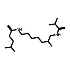 C=C(CCC(C)C)NCCCCCC(C)CNC(=C)C(C)C